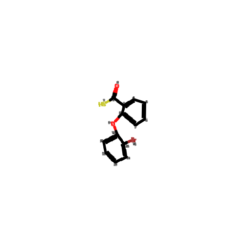 O=C(S)c1ccccc1Oc1ccccc1Br